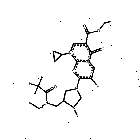 CCOC(=O)c1cn(C2CC2)c2nc(N3CC(F)C(CN(CC)C(=O)C(F)(F)F)C3)c(F)cc2c1=O